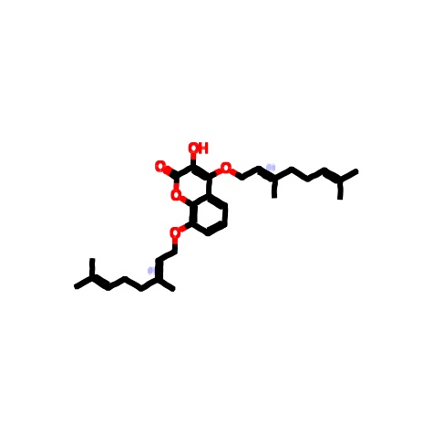 CC(C)=CCC/C(C)=C/COc1c(O)c(=O)oc2c(OC/C=C(\C)CCC=C(C)C)cccc12